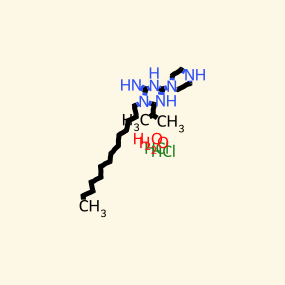 CCCCCCCCCCCCCCN(CC(C)C)C(=N)NC(=N)N1CCNCC1.Cl.Cl.O.O